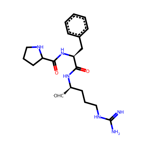 N=C(N)NCCC[C@@H]([C]=O)NC(=O)[C@H](Cc1ccccc1)NC(=O)C1CCCN1